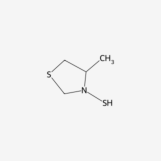 CC1CSCN1S